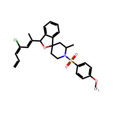 C=C/C=C(Cl)\C=C(/C)C1OC2(CCN(S(=O)(=O)c3ccc(OC(F)(F)F)cc3)C(C)C2)c2ccccc21